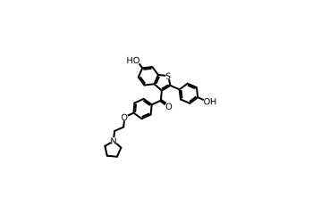 O=C(c1ccc(OCCN2CCCC2)cc1)c1c(-c2ccc(O)cc2)sc2cc(O)ccc12